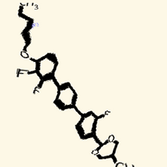 CC/C=C/COc1ccc(-c2ccc(-c3ccc(C4OCC(C)CO4)c(F)c3)cc2)c(F)c1F